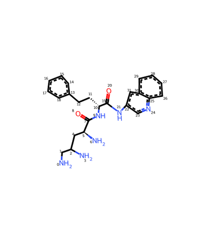 NCC(N)C[C@H](N)C(=O)N[C@H](CCc1ccccc1)C(=O)Nc1cnc2ccccc2c1